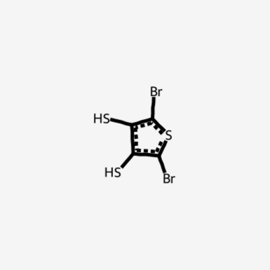 Sc1c(Br)sc(Br)c1S